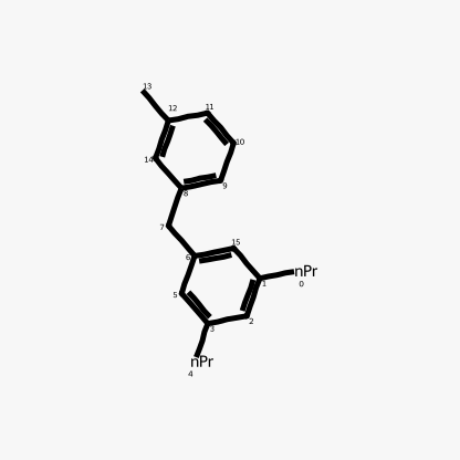 CCCc1cc(CCC)cc(Cc2cccc(C)c2)c1